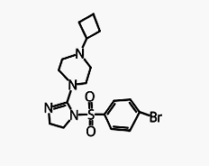 O=S(=O)(c1ccc(Br)cc1)N1CCN=C1N1CCN(C2CCC2)CC1